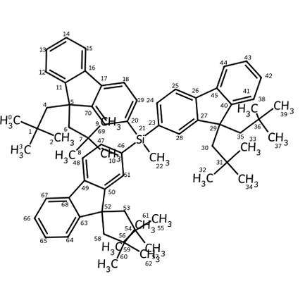 CC(C)(C)CC1(CC(C)(C)C)c2ccccc2-c2ccc([Si](C)(c3ccc4c(c3)C(CC(C)(C)C)(CC(C)(C)C)c3ccccc3-4)c3ccc4c(c3)C(CC(C)(C)C)(CC(C)(C)C)c3ccccc3-4)cc21